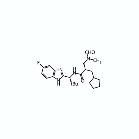 CN(C=O)C[C@@H](CC1CCCC1)C(=O)N[C@H](c1nc2cc(F)ccc2[nH]1)C(C)(C)C